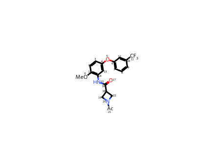 COc1ccc(Oc2cccc(C(F)(F)F)c2)cc1NC(=O)C1CN(C(C)=O)C1